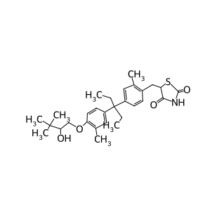 CCC(CC)(c1ccc(CC2SC(=O)NC2=O)c(C)c1)c1ccc(OCC(O)C(C)(C)C)c(C)c1